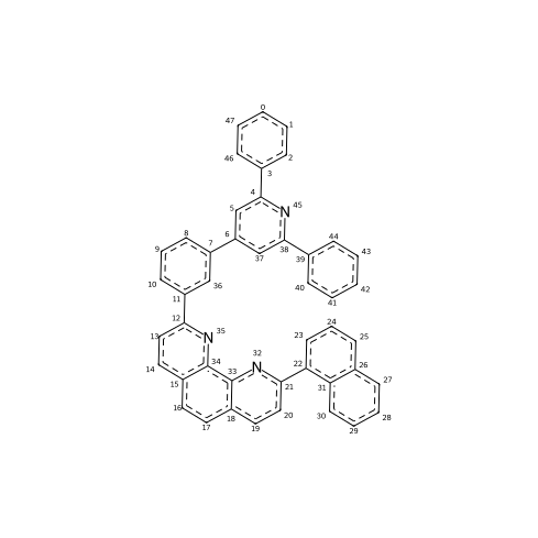 c1ccc(-c2cc(-c3cccc(-c4ccc5ccc6ccc(-c7cccc8ccccc78)nc6c5n4)c3)cc(-c3ccccc3)n2)cc1